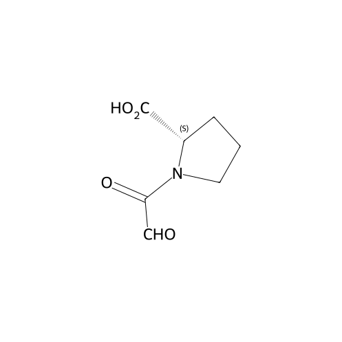 O=CC(=O)N1CCC[C@H]1C(=O)O